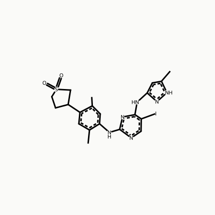 Cc1cc(Nc2nc(Nc3cc(C)c(C4CCS(=O)(=O)C4)cc3C)ncc2I)n[nH]1